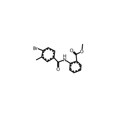 COC(=O)c1ccccc1NC(=O)c1ccc(Br)c(C)c1